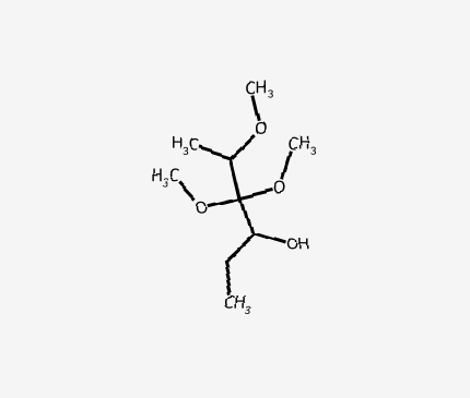 CCC(O)C(OC)(OC)C(C)OC